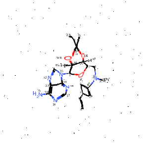 C=C[C@H]1C[C@@H](N(C[C@H]2O[C@@H](n3cnc4c(N)ncnc43)[C@@H]3OC(C)(C)O[C@@H]32)C(C)C)C1